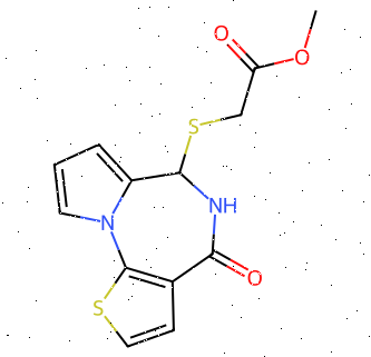 COC(=O)CSC1NC(=O)c2ccsc2-n2cccc21